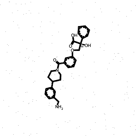 NCc1cccc(C2CCN(C(=O)c3cccc(OC[C@](O)(C(=O)O)c4ccccc4)c3)CC2)c1